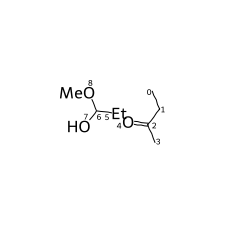 CCC(C)=O.CCC(O)OC